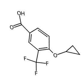 O=C(O)c1ccc(OC2CC2)c(C(F)(F)F)c1